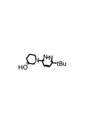 CC(C)(C)c1ccc(N2CCC[C@@H](O)C2)nn1